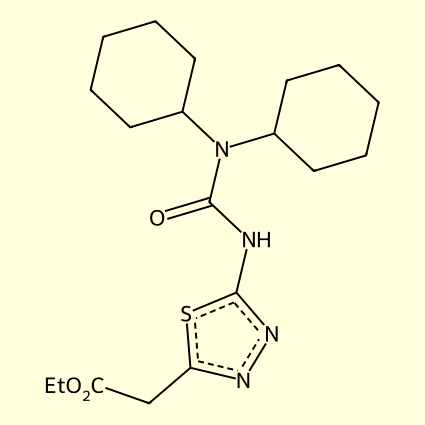 CCOC(=O)Cc1nnc(NC(=O)N(C2CCCCC2)C2CCCCC2)s1